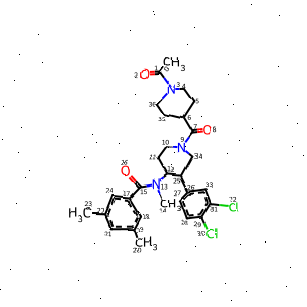 CC(=O)N1CCC(C(=O)N2CCC(N(C)C(=O)c3cc(C)cc(C)c3)C(c3ccc(Cl)c(Cl)c3)C2)CC1